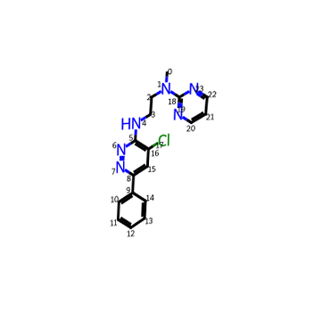 CN(CCNc1nnc(-c2ccccc2)cc1Cl)c1ncccn1